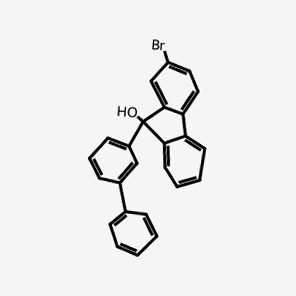 OC1(c2cccc(-c3ccccc3)c2)c2ccccc2-c2ccc(Br)cc21